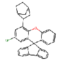 Clc1cc(C2CC3CCC2C3)c2c(c1)C1(c3ccccc3O2)c2ccccc2-c2ccccc21